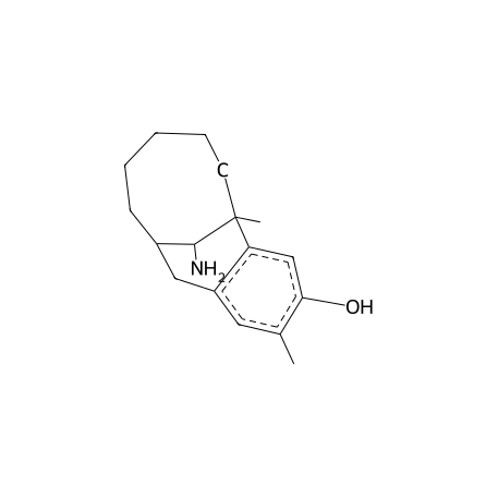 Cc1cc2c(cc1O)C1(C)CCCCCC(C2)C1N